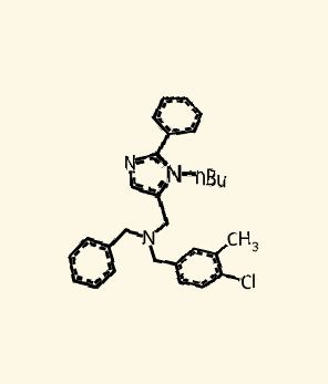 CCCCn1c(CN(Cc2ccccc2)Cc2ccc(Cl)c(C)c2)cnc1-c1ccccc1